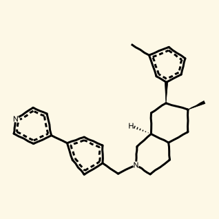 Cc1cccc([C@@H]2C[C@@H]3CN(Cc4ccc(-c5ccncc5)cc4)CCC3C[C@@H]2C)c1